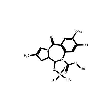 COc1cc2c(cc1O)N(C(=O)OC(C)(C)C)C(O[Si](C)(C)C(C)(C)C)C1CC(C)=CN1C2=O